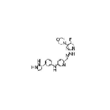 Fc1cnc(N/N=C/c2ccc(Nc3cccc(C4CCNN4)c3)cn2)nc1N1CCOCC1